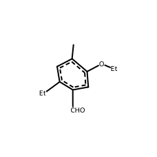 CCOc1cc(C=O)c(CC)cc1C